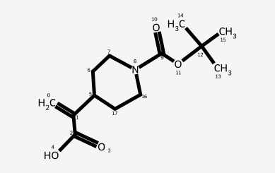 C=C(C(=O)O)C1CCN(C(=O)OC(C)(C)C)CC1